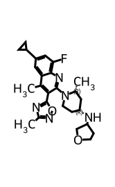 Cc1noc(-c2c(N3CC[C@@H](NC4CCOC4)C[C@H]3C)nc3c(F)cc(C4CC4)cc3c2C)n1